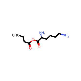 NCCCC[C@H](N)C(=O)OC(=O)CCC=O